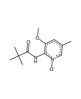 COc1cc(C)c[n+]([O-])c1NC(=O)C(C)(C)C